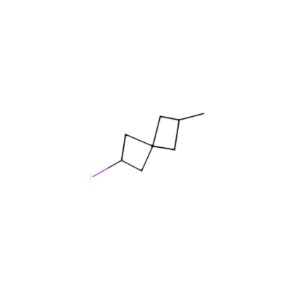 CC1CC2(C1)CC(I)C2